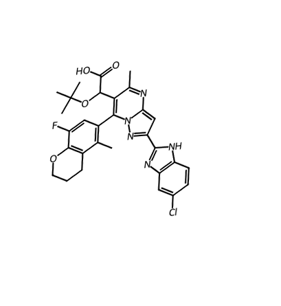 Cc1nc2cc(-c3nc4cc(Cl)ccc4[nH]3)nn2c(-c2cc(F)c3c(c2C)CCCO3)c1C(OC(C)(C)C)C(=O)O